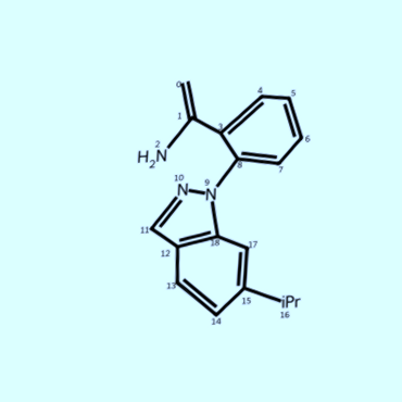 C=C(N)c1ccccc1-n1ncc2ccc(C(C)C)cc21